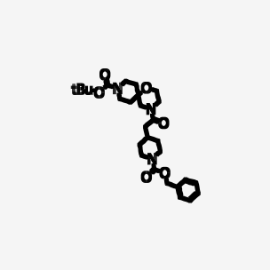 CC(C)(C)OC(=O)N1CCC2(CC1)CN(C(=O)CC1CCN(C(=O)OCc3ccccc3)CC1)CCO2